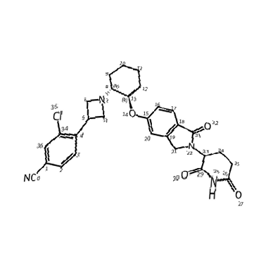 N#Cc1ccc(C2CN([C@@H]3CCCC[C@H]3Oc3ccc4c(c3)CN(C3CCC(=O)NC3=O)C4=O)C2)c(Cl)c1